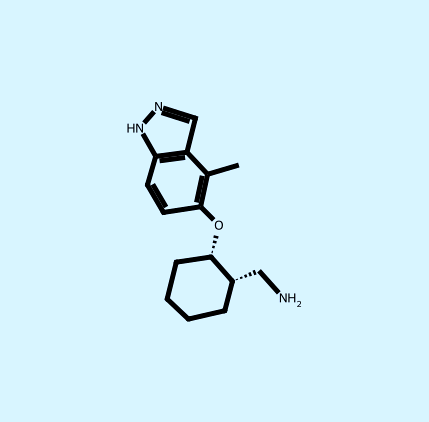 Cc1c(O[C@H]2CCCC[C@H]2CN)ccc2[nH]ncc12